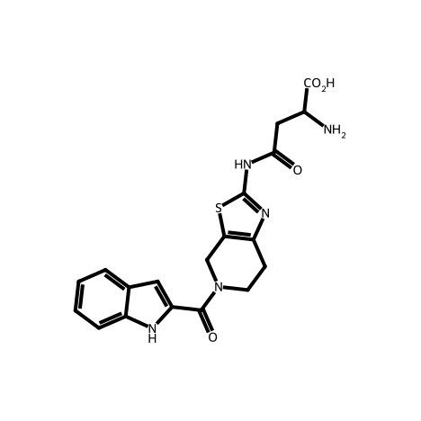 NC(CC(=O)Nc1nc2c(s1)CN(C(=O)c1cc3ccccc3[nH]1)CC2)C(=O)O